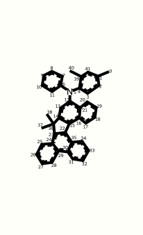 Cc1ccc(N(c2ccccc2)c2cc3c(c4ccccc24)-c2c(c4ccccc4c4ccccc24)C3(C)C)c(C)c1